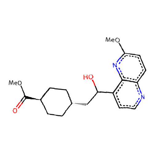 COc1ccc2nccc(C(O)C[C@H]3CC[C@H](C(=O)OC)CC3)c2n1